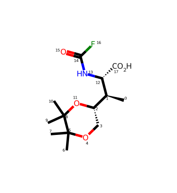 C[C@@H]([C@@H]1COC(C)(C)C(C)(C)O1)[C@H](NC(=O)F)C(=O)O